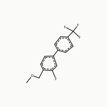 COCc1ccc(-c2ccc(C(F)(F)F)cc2)cc1F